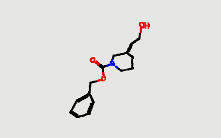 O=C(OCc1ccccc1)N1CCCC(=CCO)C1